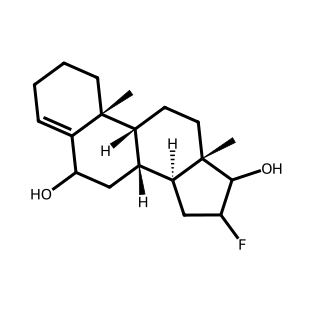 C[C@]12CCCC=C1C(O)C[C@@H]1[C@H]2CC[C@]2(C)C(O)C(F)C[C@@H]12